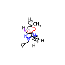 CC(C)(C)OC(=O)N1C[C@@H]2[C@@H]3C1[C@@]23c1cc(I)nn1CC1CC1